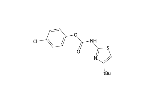 CC(C)(C)c1csc(NC(=O)Oc2ccc(Cl)cc2)n1